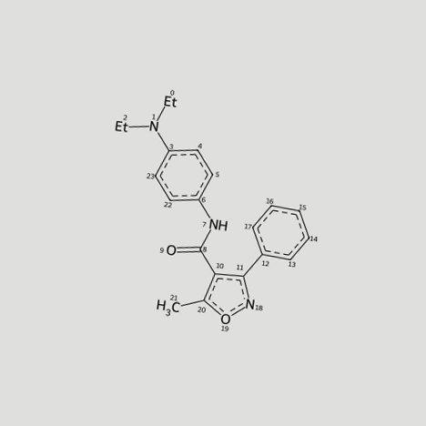 CCN(CC)c1ccc(NC(=O)c2c(-c3ccccc3)noc2C)cc1